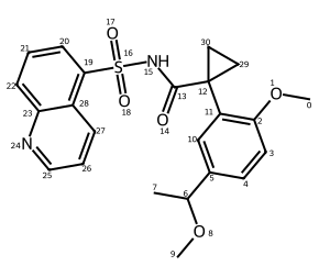 COc1ccc(C(C)OC)cc1C1(C(=O)NS(=O)(=O)c2cccc3ncccc23)CC1